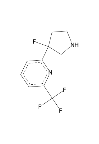 FC(F)(F)c1cccc(C2(F)CCNC2)n1